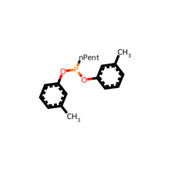 CCCCCP(Oc1cccc(C)c1)Oc1cccc(C)c1